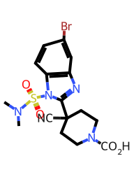 CN(C)S(=O)(=O)n1c(C2(C#N)CCN(C(=O)O)CC2)nc2cc(Br)ccc21